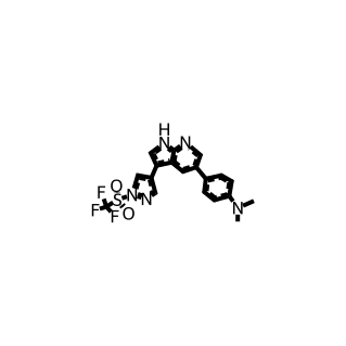 CN(C)c1ccc(-c2cnc3[nH]cc(-c4cnn(S(=O)(=O)C(F)(F)F)c4)c3c2)cc1